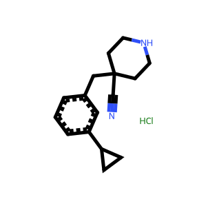 Cl.N#CC1(Cc2cccc(C3CC3)c2)CCNCC1